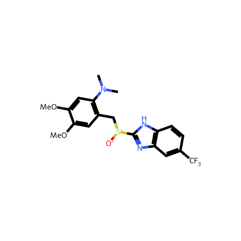 COc1cc(C[S+]([O-])c2nc3cc(C(F)(F)F)ccc3[nH]2)c(N(C)C)cc1OC